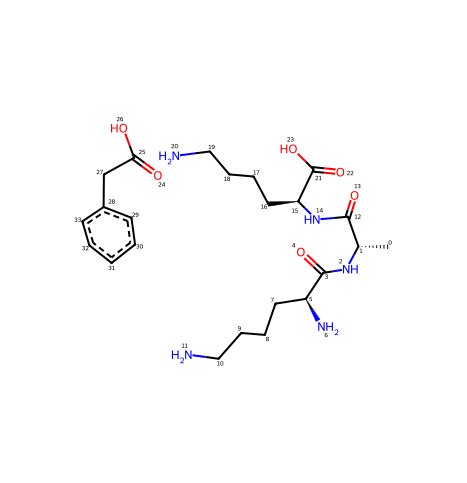 C[C@H](NC(=O)[C@@H](N)CCCCN)C(=O)N[C@@H](CCCCN)C(=O)O.O=C(O)Cc1ccccc1